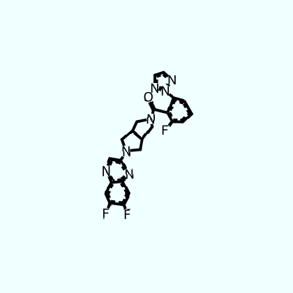 O=C(c1c(F)cccc1-n1nccn1)N1CC2CN(c3cnc4cc(F)c(F)cc4n3)CC2C1